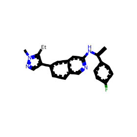 C=C(Nc1cc2cc(-c3cnn(C)c3CC)ccc2cn1)c1ccc(F)cc1